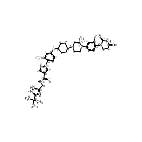 Cc1cc(OC2CCC(N3CCN(c4ccc(N5CCC(=O)NC5=O)c(F)c4)[C@@H](C)C3)CC2)ccc1-n1cc(C(=O)NCc2nc(C(C)(C)C(F)(F)F)n[nH]2)cn1